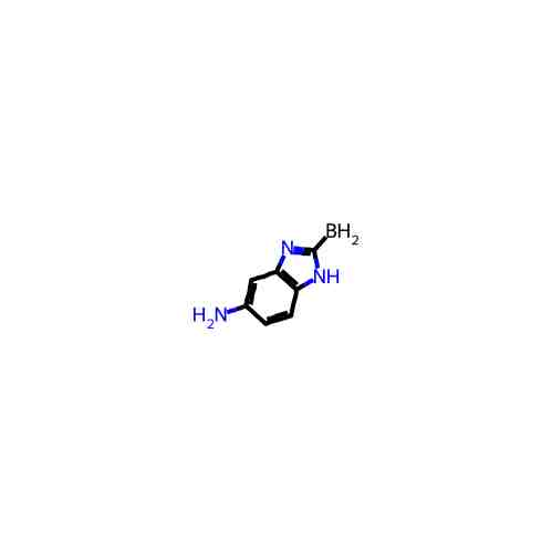 Bc1nc2cc(N)ccc2[nH]1